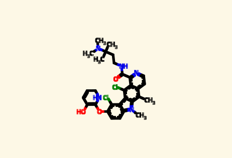 Cc1c2ccnc(C(=O)NCCC(C)(C)N(C)C)c2c(Cl)c2c3c(Cl)c(OC4=C(O)C=CCN4)ccc3n(C)c12